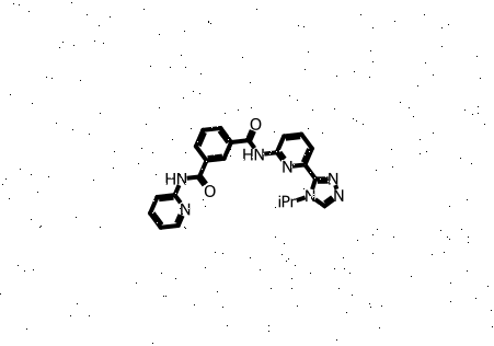 CC(C)n1cnnc1-c1cccc(NC(=O)c2cccc(C(=O)Nc3ccccn3)c2)n1